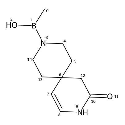 CB(O)N1CCC2(C=CNC(=O)C2)CC1